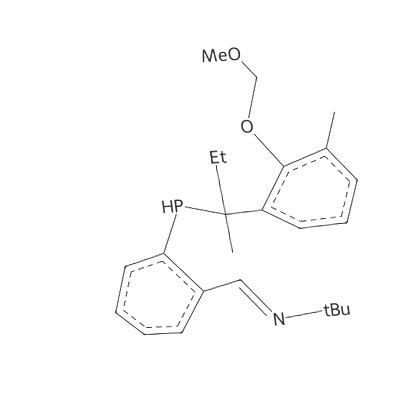 CCC(C)(Pc1ccccc1/C=N/C(C)(C)C)c1cccc(C)c1OCOC